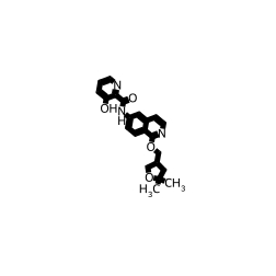 CC1(C)CC(COc2nccc3cc(NC(=O)c4ncccc4O)ccc23)CO1